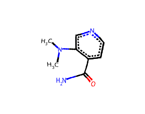 CN(C)c1cnccc1C(N)=O